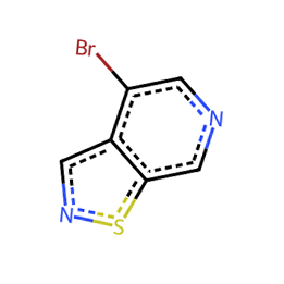 Brc1cncc2sncc12